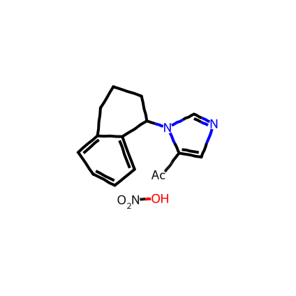 CC(=O)c1cncn1C1CCCc2ccccc21.O=[N+]([O-])O